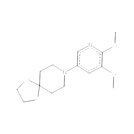 COc1cc(N2CCC3(CC2)OCCO3)cnc1OC